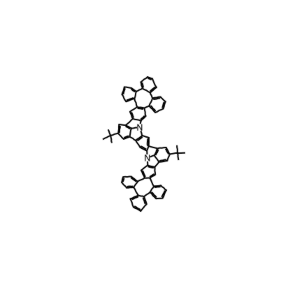 CC(C)(C)c1cc2c3cc4c(cc3n3c5cc6c7cc(C(C)(C)C)cc8c9cc%10c(cc9n(c6cc5c(c1)c23)c87)-c1ccccc1-c1ccccc1-c1ccccc1-%10)-c1ccccc1-c1ccccc1-c1ccccc1-4